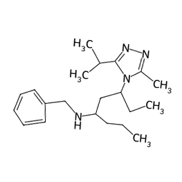 CCCC(CC(CC)n1c(C)nnc1C(C)C)NCc1ccccc1